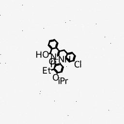 CCc1cc(NC2=C(Cc3ccc(Cl)cc3)c3ccccc3C(O)[NH+]2[O-])ccc1OC(C)C